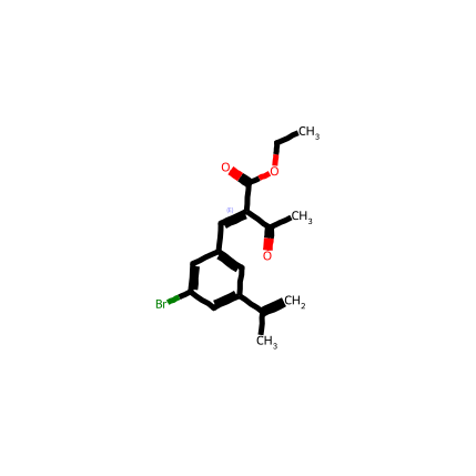 C=C(C)c1cc(Br)cc(/C=C(\C(C)=O)C(=O)OCC)c1